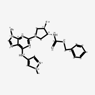 CC(C)n1cnc2c(Nc3cnn(C)c3)nc(N3C[C@@H](F)[C@H](NC(=O)OCc4ccccc4)C3)nc21